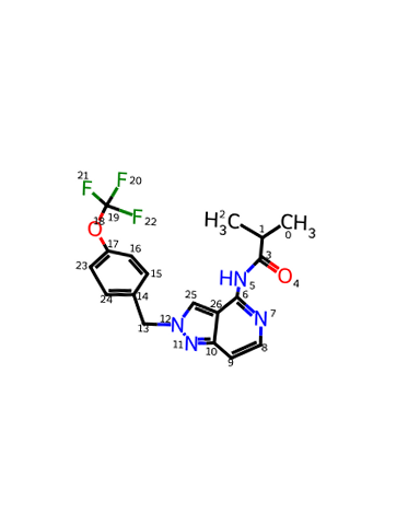 CC(C)C(=O)Nc1nccc2nn(Cc3ccc(OC(F)(F)F)cc3)cc12